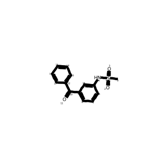 CS(=O)(=O)Nc1cccc(C(=O)c2ccccc2)c1